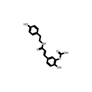 O=C(/C=C/c1ccc(O)c(OC(=O)O)c1)NCCc1ccc(O)cc1